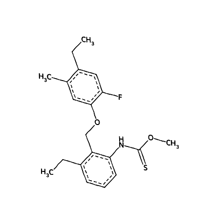 CCc1cc(F)c(OCc2c(CC)cccc2NC(=S)OC)cc1C